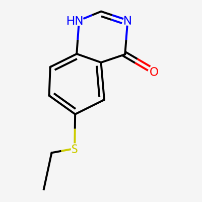 CCSc1ccc2[nH]cnc(=O)c2c1